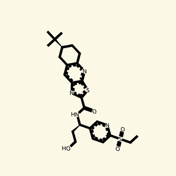 CCS(=O)(=O)c1ccc([C@@H](CCO)NC(=O)c2nc3cc4c(nc3s2)CC[C@H](C(C)(C)C)C4)cn1